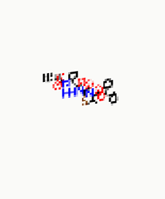 C=C1CSC2C(NC(=O)Cc3ccccc3NC(=O)OC(C)(C)C)C(=O)N2C1C(=O)OC(c1ccccc1)c1ccccc1